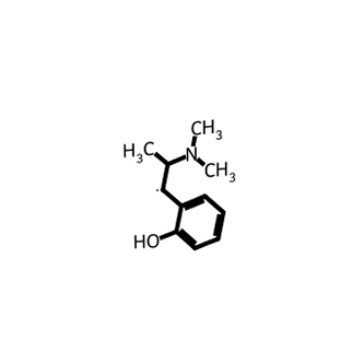 CC([CH]c1ccccc1O)N(C)C